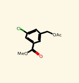 COC(=O)c1cc(Cl)cc(COC(C)=O)c1